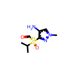 CC(C)[SH](=O)(C=O)c1nn(C)cc1N